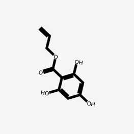 C=CCOC(=O)c1c(O)cc(O)cc1O